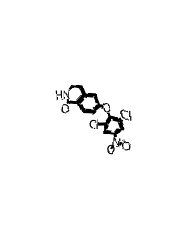 O=C1NCCc2cc(Oc3c(Cl)cc([N+](=O)[O-])cc3Cl)ccc21